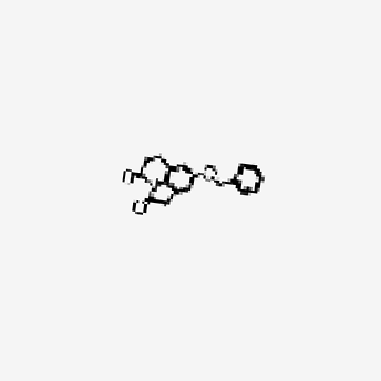 O=C1CCc2cc(OCc3ccccc3)cc3c2N1C(=O)C3